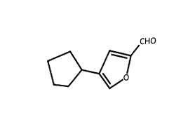 O=Cc1cc(C2CCCC2)co1